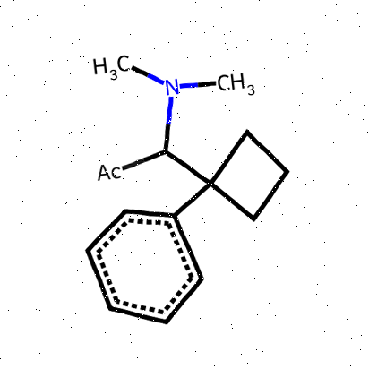 CC(=O)C(N(C)C)C1(c2ccccc2)CCC1